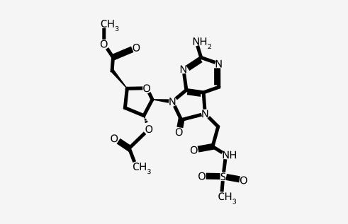 COC(=O)C[C@@H]1C[C@@H](OC(C)=O)[C@H](n2c(=O)n(CC(=O)NS(C)(=O)=O)c3cnc(N)nc32)O1